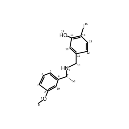 COc1cccc([C@@H](C)NCc2ccc(I)c(O)c2)c1